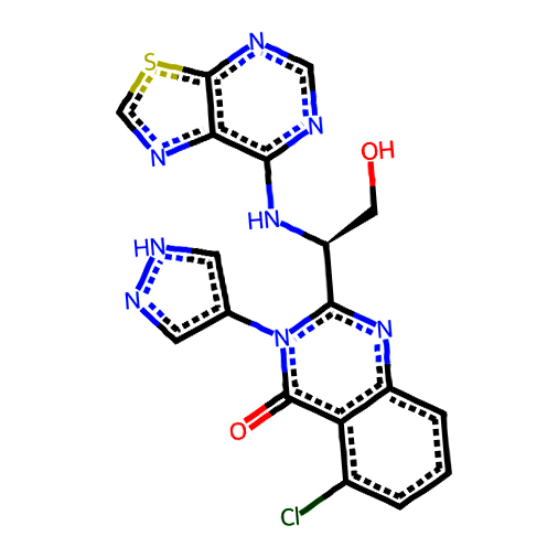 O=c1c2c(Cl)cccc2nc([C@H](CO)Nc2ncnc3scnc23)n1-c1cn[nH]c1